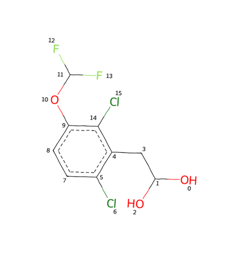 OC(O)Cc1c(Cl)ccc(OC(F)F)c1Cl